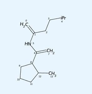 C=C(CCC(C)C)NC(=C)C1CCCC1C